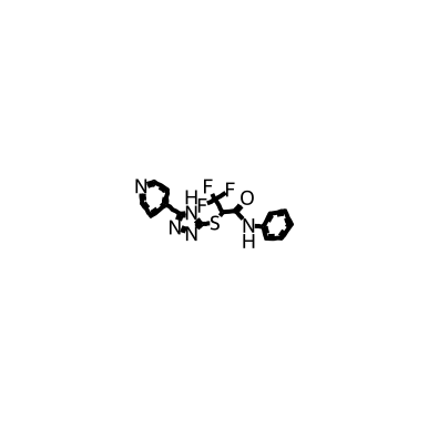 O=C(Nc1ccccc1)C(Sc1nnc(-c2ccncc2)[nH]1)C(F)(F)F